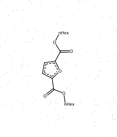 CCCCCCOC(=O)c1ccc(C(=O)OCCCCCC)o1